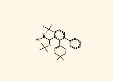 CC1(C)CC=C(c2c(-c3ccncc3)ccc(C(F)(F)F)c2C(OC(C)(C)C)C(=O)O)CC1